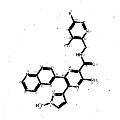 Cn1ccc(-c2nc(N)c(C(=O)NCc3ncc(F)cc3Cl)nc2-c2ccc3ncccc3c2)n1